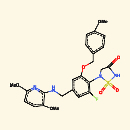 COc1ccc(COc2cc(CNc3nc(OC)ccc3OC)cc(F)c2N2CC(=O)NS2(=O)=O)cc1